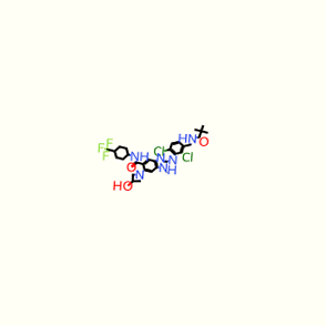 Cn1c(Nc2c(Cl)ccc(CNC(=O)C(C)(C)C)c2Cl)nc2cc(C(=O)NC3CCC(C(F)(F)F)CC3)c(N3CC(O)C3)cc21